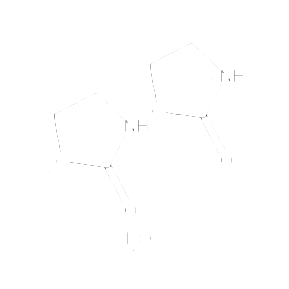 O.O=C1NCCO1.O=C1NCCO1